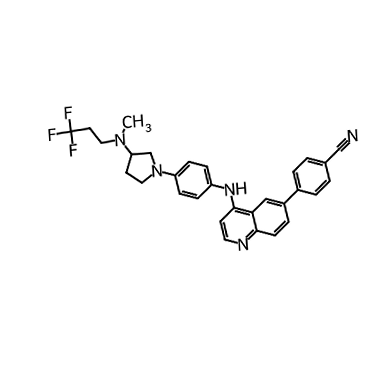 CN(CCC(F)(F)F)C1CCN(c2ccc(Nc3ccnc4ccc(-c5ccc(C#N)cc5)cc34)cc2)C1